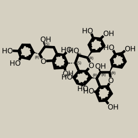 Oc1cc(O)c2c(c1)O[C@H](c1ccc(O)c(O)c1)[C@H](O)[C@H]2c1c(O)cc(O)c2c1O[C@H](c1ccc(O)c(O)c1)[C@H](O)[C@H]2c1c(O)cc2c(c1O)C[C@H](O)[C@@H](c1ccc(O)c(O)c1)O2